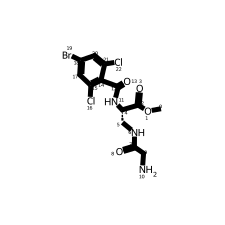 COC(=O)[C@H](CNC(=O)CN)NC(=O)c1c(Cl)cc(Br)cc1Cl